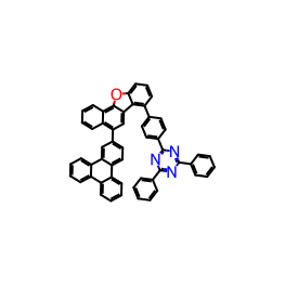 c1ccc(-c2nc(-c3ccccc3)nc(-c3ccc(-c4cccc5oc6c7ccccc7c(-c7ccc8c9ccccc9c9ccccc9c8c7)cc6c45)cc3)n2)cc1